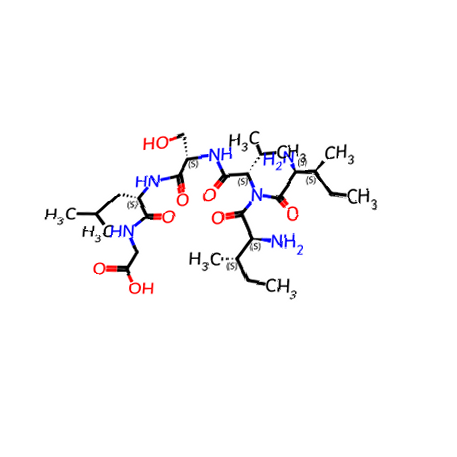 CC[C@H](C)[C@H](N)C(=O)N(C(=O)[C@@H](N)[C@@H](C)CC)[C@H](C(=O)N[C@@H](CO)C(=O)N[C@@H](CC(C)C)C(=O)NCC(=O)O)C(C)C